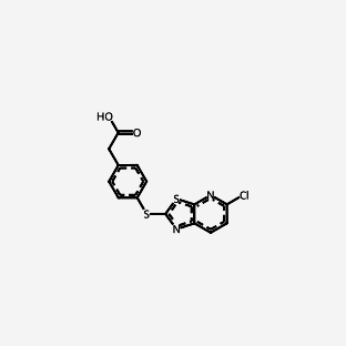 O=C(O)Cc1ccc(Sc2nc3ccc(Cl)nc3s2)cc1